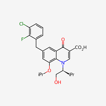 CC(C)Oc1cc(Cc2cccc(Cl)c2F)cc2c(=O)c(C(=O)O)cn([C@H](CO)C(C)C)c12